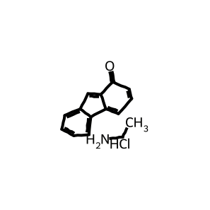 CCN.Cl.O=C1C=CC=C2C1=Cc1ccccc12